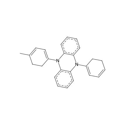 CC1=CC=C(N2c3ccccc3N(C3=CC=CCC3)c3ccccc32)CC1